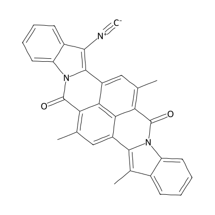 [C-]#[N+]c1c2ccccc2n2c(=O)c3c(C)cc4c5c(c(C)cc(c35)c12)c(=O)n1c2ccccc2c(C)c41